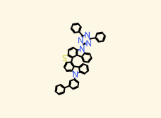 c1ccc(-c2cccc(-n3c4ccccc4c4c5c(ccc43)sc3ccc4c(c6ccccc6n4-c4nc(-c6ccccc6)nc(-c6ccccc6)n4)c35)c2)cc1